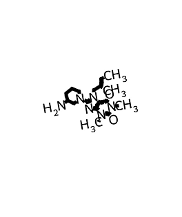 C/C=C(\C)Cn1c(N2CCCC(N)C2)nc2c1c(=O)n(C)c(=O)n2C